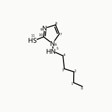 CCCCCNn1ccnc1S